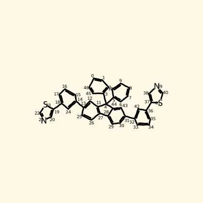 c1ccc(C2(c3ccccc3)c3cc(-c4cccc(-c5cncs5)c4)ccc3-c3ccc(-c4cccc(-c5cncs5)c4)cc32)cc1